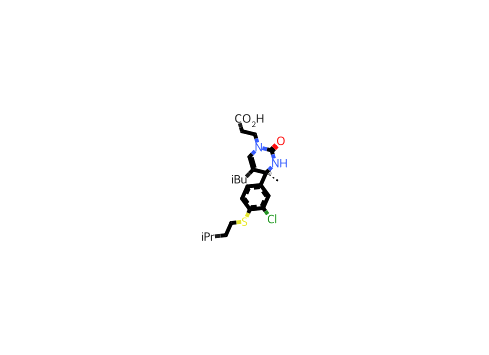 CCC(C)C1=CN(CCC(=O)O)C(=O)N[C@@]1(C)c1ccc(SCCC(C)C)c(Cl)c1